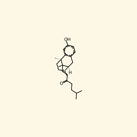 CC(C)CCC(=O)CCC1(C)[C@H]2Cc3ccc(O)cc3[C@]1(C)CCN2C